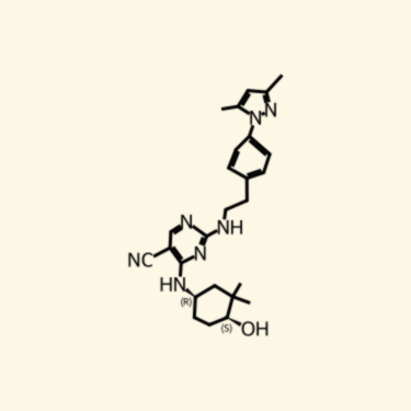 Cc1cc(C)n(-c2ccc(CCNc3ncc(C#N)c(N[C@@H]4CC[C@H](O)C(C)(C)C4)n3)cc2)n1